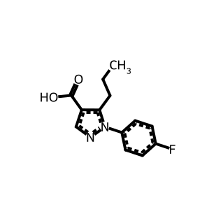 CCCc1c(C(=O)O)cnn1-c1ccc(F)cc1